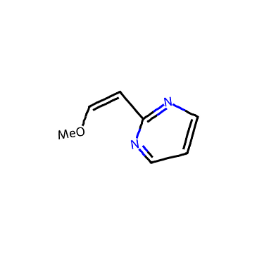 CO/C=C\c1ncccn1